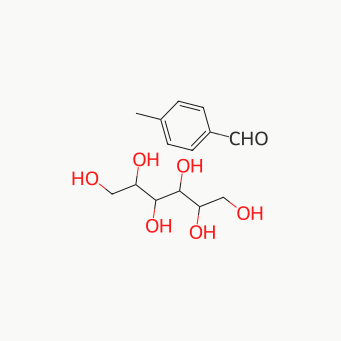 Cc1ccc(C=O)cc1.OCC(O)C(O)C(O)C(O)CO